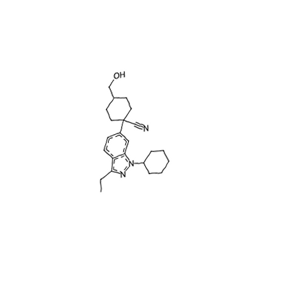 CCc1nn(C2CCCCC2)c2cc(C3(C#N)CCC(CO)CC3)ccc12